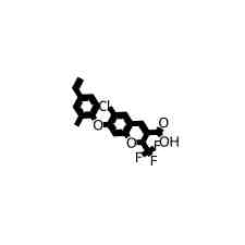 C=Cc1ccc(Oc2cc3c(cc2Cl)C=C(C(=O)O)C(C(F)(F)F)O3)c(C)c1